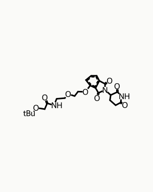 CC(C)(C)OCC(=O)NCCOCCOc1cccc2c1C(=O)N(C1CCC(=O)NC1=O)C2=O